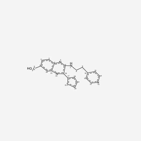 O=C(O)c1ccc2nc(NCCc3ccncc3)c(-c3cccs3)nc2c1